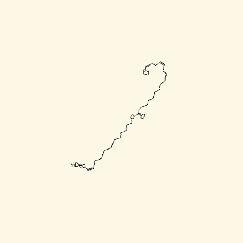 CC/C=C\C/C=C\C/C=C\CCCCCCCC(=O)OCCCCCCCCCC/C=C\CCCCCCCCCC